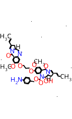 C/C=C/C1=CN2C(=O)c3cc(OC)c(OCCCOc4cc5c(cc4OC)C(=O)N4C=C(/C=C/C)C[C@H]4[C@H](O)N5C(=O)OCc4ccc(N)cc4)cc3N=C[C@@H]2C1